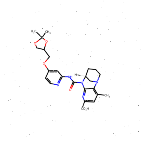 Cc1cc(C(=O)O)nc2c1N1CCC[C@@H](C1)N2C(=O)Nc1cc(OCC2COC(C)(C)O2)ccn1